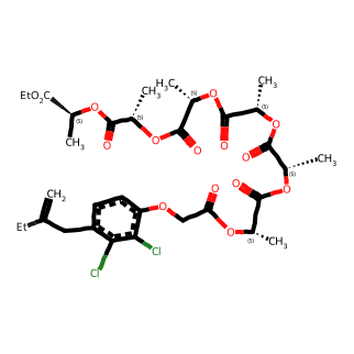 C=C(CC)Cc1ccc(OCC(=O)O[C@@H](C)C(=O)O[C@@H](C)C(=O)O[C@@H](C)C(=O)O[C@@H](C)C(=O)O[C@@H](C)C(=O)O[C@@H](C)C(=O)OCC)c(Cl)c1Cl